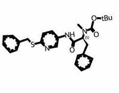 CN(C(=O)OC(C)(C)C)[C@@H](Cc1ccccc1)C(=O)Nc1ccc(SCc2ccccc2)nc1